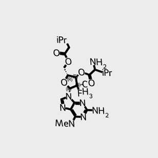 CNc1nc(N)nc2c1ncn2[C@@H]1O[C@H](COC(=O)CC(C)C)[C@@H](OC(=O)C(N)C(C)C)[C@@]1(C)F